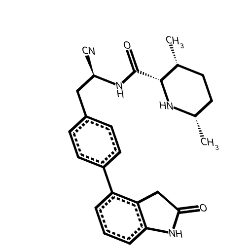 C[C@@H]1CC[C@H](C)N[C@@H]1C(=O)N[C@H](C#N)Cc1ccc(-c2cccc3c2CC(=O)N3)cc1